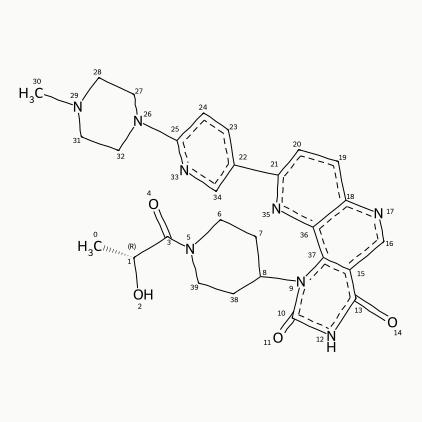 C[C@@H](O)C(=O)N1CCC(n2c(=O)[nH]c(=O)c3cnc4ccc(-c5ccc(N6CCN(C)CC6)nc5)nc4c32)CC1